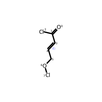 O=C(Cl)/C=C/COCl